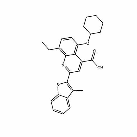 CCc1ccc(OC2CCCCC2)c2c(C(=O)O)cc(-c3sc4ccccc4c3C)nc12